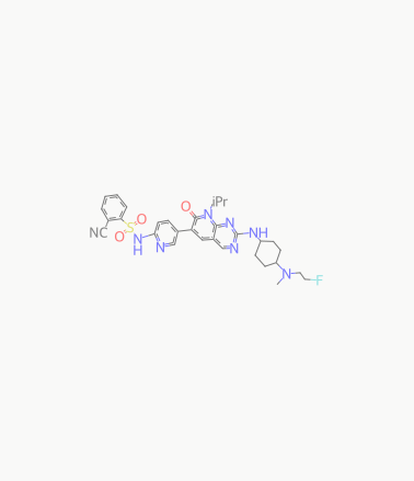 CC(C)n1c(=O)c(-c2ccc(NS(=O)(=O)c3ccccc3C#N)nc2)cc2cnc(NC3CCC(N(C)CCF)CC3)nc21